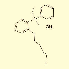 CCCCCCc1ccccc1C(C)(CC)c1ccccc1O